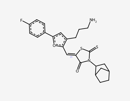 NCCCc1cc(-c2ccc(F)cc2)oc1/C=C1\SC(=S)N(C2CC3CCC2C3)C1=O